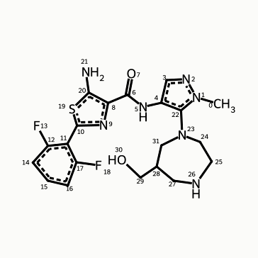 Cn1ncc(NC(=O)c2nc(-c3c(F)cccc3F)sc2N)c1N1CCNCC(CO)C1